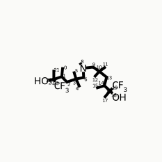 CC(CC(C)(C)CN(C)CC(C)(C)CC(C)C(C)(O)C(F)(F)F)C(C)(O)C(F)(F)F